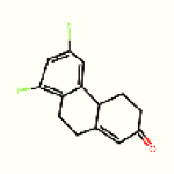 O=C1C=C2CCc3c(F)cc(F)cc3C2CC1